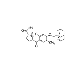 Cc1cc(C(=O)C2CCC(C(=O)O)N2)c(F)cc1OCC12CC3CC(CC(C3)C1)C2